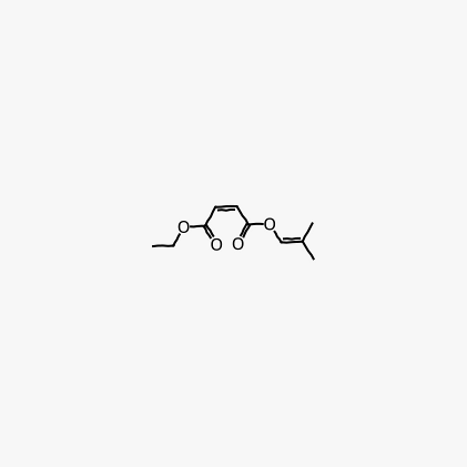 CCOC(=O)/C=C\C(=O)OC=C(C)C